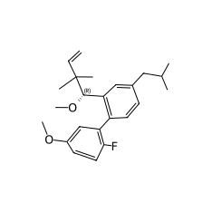 C=CC(C)(C)[C@@H](OC)c1cc(CC(C)C)ccc1-c1cc(OC)ccc1F